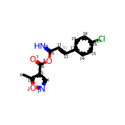 Cc1oncc1C(=O)OC(=N)/C=C/c1ccc(Cl)cc1